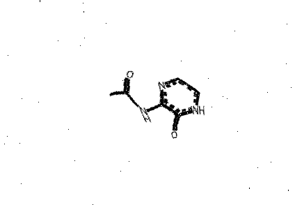 CC(=O)Nc1ncc[nH]c1=O